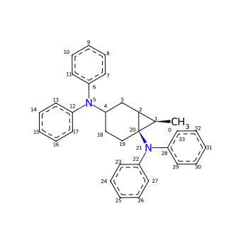 C[C@@H]1C2CC(N(c3ccccc3)c3ccccc3)CC[C@]21N(c1ccccc1)c1ccccc1